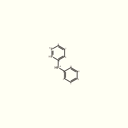 c1ccc(Pc2cccpp2)cc1